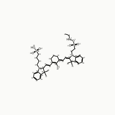 CCNOS(=O)(=O)CCN1/C(=C/C=C2\CCCC(/C=C/C3N(CCCCS(=O)(=O)O)c4ccccc4C3(C)C)=C2Cl)C(C)(C)c2ccccc21